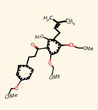 COCOc1ccc(CCC(=O)c2c(OCOC)cc(OCOC)c(CC=C(C)C)c2OC(C)=O)cc1